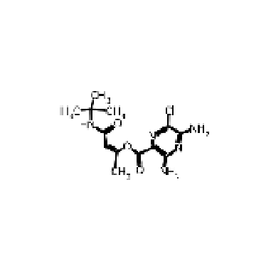 C/C(=C/C(=O)NC(C)(C)C)OC(=O)c1nc(Cl)c(N)nc1N